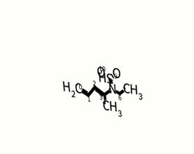 C=C/C=C(\C)N(CC)[SH](=O)=O